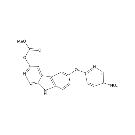 COC(=O)Oc1cc2c(cn1)[nH]c1ccc(Oc3ccc([N+](=O)[O-])cn3)cc12